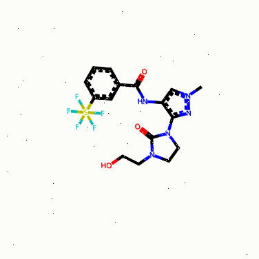 Cn1cc(NC(=O)c2cccc(S(F)(F)(F)(F)F)c2)c(N2CCN(CCO)C2=O)n1